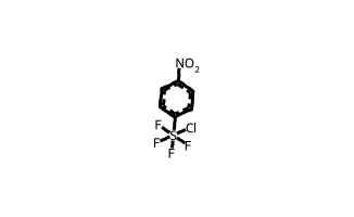 O=[N+]([O-])c1ccc(S(F)(F)(F)(F)Cl)cc1